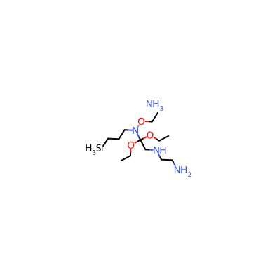 CCON(CCC[SiH3])C(CNCCN)(OCC)OCC.N